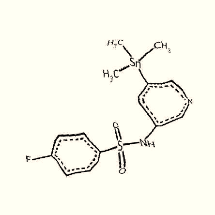 [CH3][Sn]([CH3])([CH3])[c]1cncc(NS(=O)(=O)c2ccc(F)cc2)c1